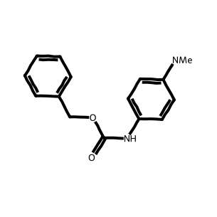 CNc1ccc(NC(=O)OCc2ccccc2)cc1